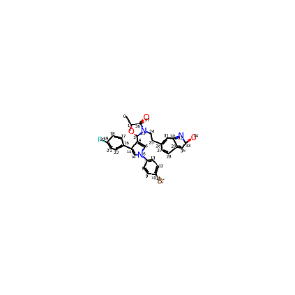 CC1OC(c2cn(-c3ccc(Br)cc3)cc2-c2ccc(F)cc2)N(CCc2ccc3c(c2)=NC(=O)C=3)C1=O